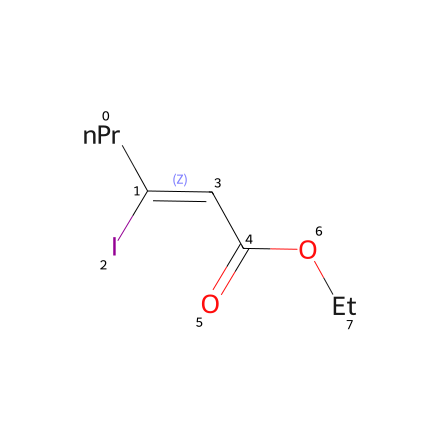 CCC/C(I)=C/C(=O)OCC